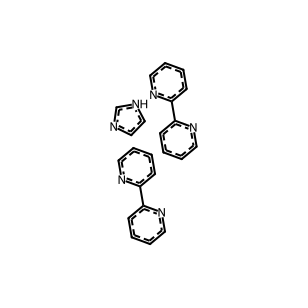 c1c[nH]cn1.c1ccc(-c2ccccn2)nc1.c1ccc(-c2ccccn2)nc1